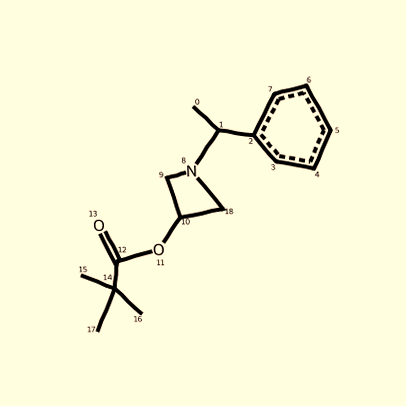 CC(c1ccccc1)N1CC(OC(=O)C(C)(C)C)C1